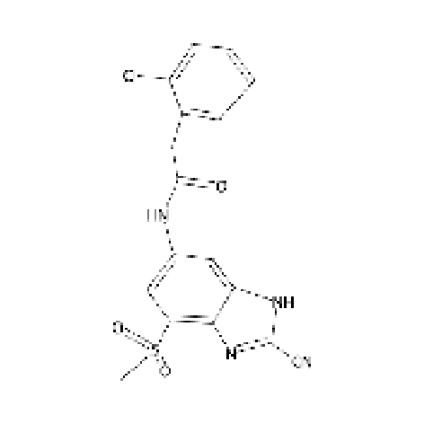 CS(=O)(=O)c1cc(NC(=O)Cc2ccccc2Cl)cc2[nH]c(C#N)nc12